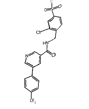 CNS(=O)(=O)c1ccc(CNC(=O)c2cncc(-c3ccc(C(F)(F)F)cc3)c2)c(Cl)c1